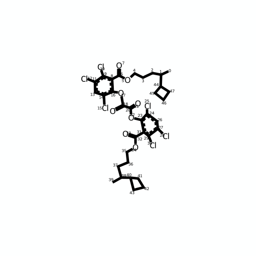 CC(CCCOC(=O)c1c(Cl)c(Cl)cc(Cl)c1OC(=O)C(=O)Oc1c(Cl)cc(Cl)c(Cl)c1C(=O)OCCCC(C)C1CCC1)C1CCC1